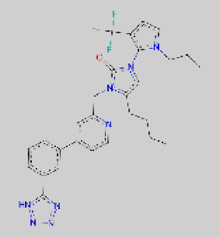 CCCCc1cn(-c2c(C(F)(F)F)ccn2CCC)c(=O)n1Cc1cc(-c2cccc(-c3nnn[nH]3)c2)ccn1